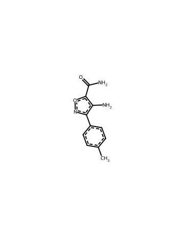 Cc1ccc(-c2noc(C(N)=O)c2N)cc1